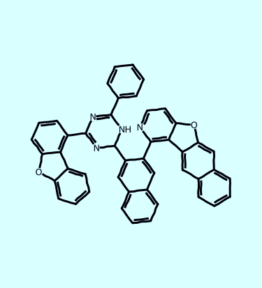 c1ccc(C2=NC(c3cccc4oc5ccccc5c34)=NC(c3cc4ccccc4cc3-c3nccc4oc5cc6ccccc6cc5c34)N2)cc1